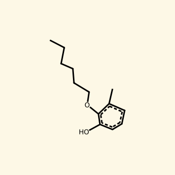 CCCCCCOc1c(C)cccc1O